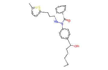 CCCCCC(O)c1ccc(N(NCCCc2ccc(C)s2)C(=O)c2ccccc2)cc1